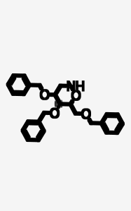 c1ccc(COCC2ONCC(OCc3ccccc3)[C@@H]2OCc2ccccc2)cc1